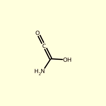 NC(O)=C=O